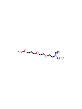 CCCOCCCOCCOCCN(C=O)CCC